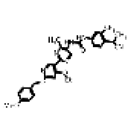 CCOc1cc(OCc2ccc(OC)cc2)ncc1-c1ncc(NC(=O)Nc2ccc(C(C)C#N)c(C(F)(F)F)c2)c(C)n1